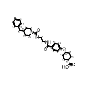 O=C(NCCNC(=O)N1CCC(Cc2ccccc2)CC1)c1ccc(O[C@H]2CC[C@@H](C(=O)O)CC2)cc1